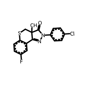 CC12CSc3ccc(F)cc3C1=NN(c1ccc(Cl)cc1)C2=O